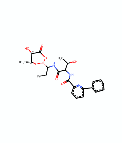 CC(C)CC(NC(=O)C(NC(=O)c1cccc(-c2ccccc2)n1)C(C)O)B1OC(=O)[C@H](O)[C@H](C(=O)O)O1